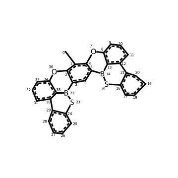 Cc1c2c(cc3c1Oc1cccc4c1B3Sc1ccccc1-4)B1Sc3ccccc3-c3cccc(c31)O2